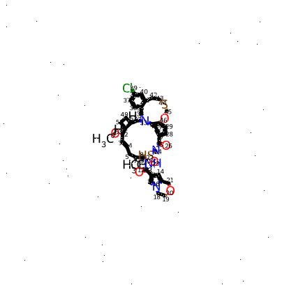 CO[C@H]1/C=C/C[C@H](C)[C@](C)(NC(=O)c2cc3n(c2)CCOC3)/[SH](=O)=N\C(=O)c2ccc3c(c2)N(Cc2ccc(Cl)cc2CCSCO3)C[C@@H]2CC[C@H]21